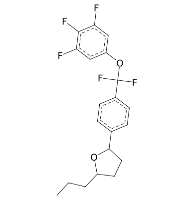 CCCC1CCC(c2ccc(C(F)(F)Oc3cc(F)c(F)c(F)c3)cc2)O1